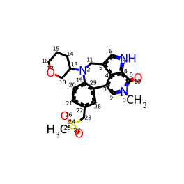 Cn1cc2c3c(c[nH]c3c1=O)CN(C1CCCOC1)c1ccc(CS(C)(=O)=O)cc1-2